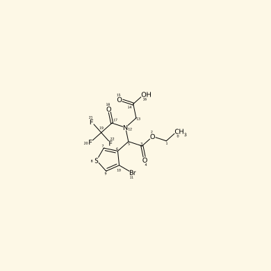 CCOC(=O)C(c1cscc1Br)N(CC(=O)O)C(=O)C(F)(F)F